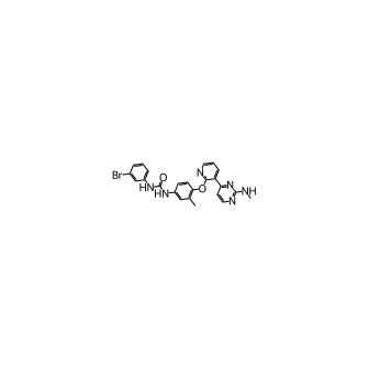 CNc1nccc(-c2cccnc2Oc2ccc(NC(=O)Nc3cccc(Br)c3)cc2C)n1